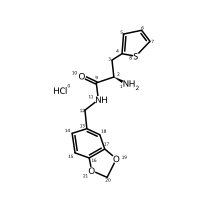 Cl.N[C@H](Cc1cccs1)C(=O)NCc1ccc2c(c1)OCO2